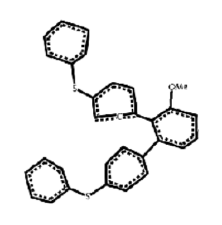 COc1cc[c]c(-c2ccc(Sc3ccccc3)cc2)c1-c1ccc(Sc2ccccc2)cc1